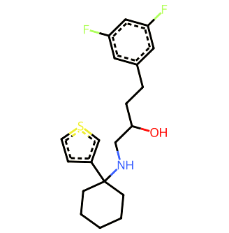 OC(CCc1cc(F)cc(F)c1)CNC1(c2ccsc2)CCCCC1